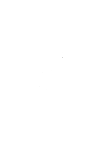 O=C1C(Cc2ccc(-c3ccco3)cc2Cl)CCN1C1CCCCC1